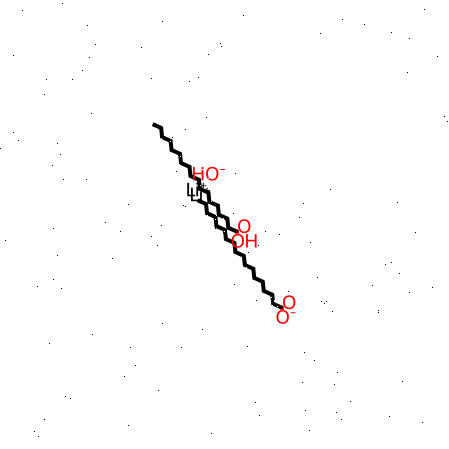 CCCCCCCCCCCCCCCCCC(=O)O.CCCCCCCCCCCCCCCCCC(=O)[O-].[Li+].[Li+].[OH-]